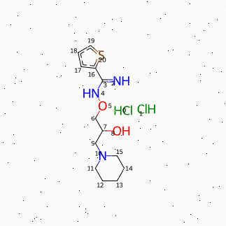 Cl.Cl.N=C(NOCC(O)CN1CCCCC1)c1cccs1